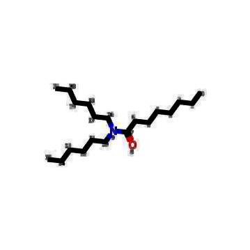 CCCCCCCC(=O)N(CCCCCC)CCCCCC